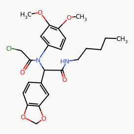 CCCCCNC(=O)C(c1ccc2c(c1)OCO2)N(C(=O)CCl)c1ccc(OC)c(OC)c1